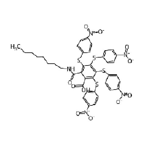 CCCCCCCCNC(=O)c1c(Sc2ccc([N+](=O)[O-])cc2)c(Sc2ccc([N+](=O)[O-])cc2)c(Sc2ccc([N+](=O)[O-])cc2)c(Sc2ccc([N+](=O)[O-])cc2)c1C(=O)O